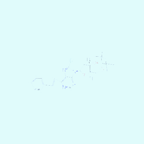 CC(C)(C)[Si]1(C(C)(C)C)OC[C@H]2O[C@@H](n3c(Br)nc4c(/C=C/c5ccccc5)ncnc43)C[C@@H]2O1